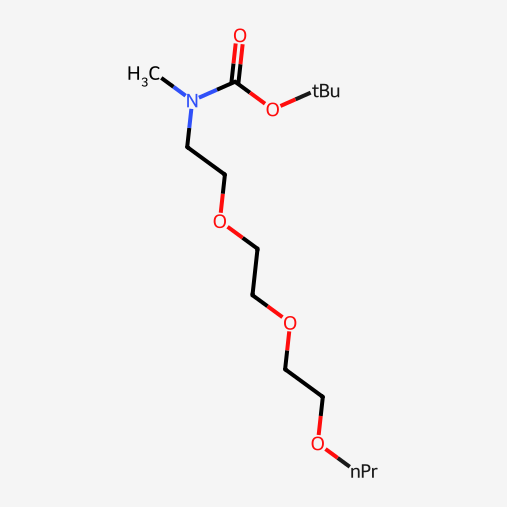 CCCOCCOCCOCCN(C)C(=O)OC(C)(C)C